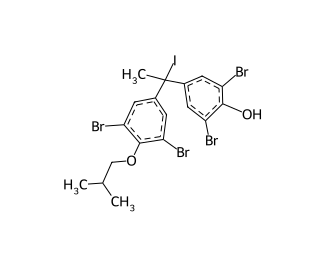 CC(C)COc1c(Br)cc(C(C)(I)c2cc(Br)c(O)c(Br)c2)cc1Br